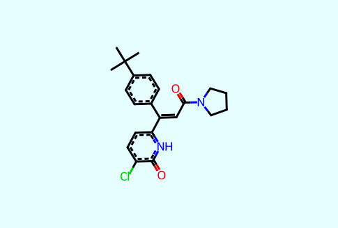 CC(C)(C)c1ccc(/C(=C\C(=O)N2CCCC2)c2ccc(Cl)c(=O)[nH]2)cc1